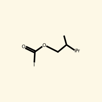 CC(C)C(C)COC(=O)I